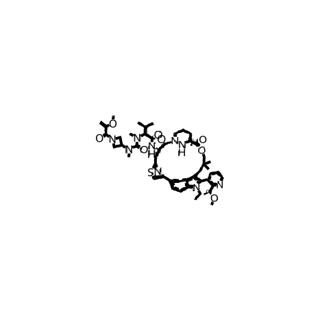 C=C(OC)C(=O)N1CC(N(C)C(=O)N(C)C(C(=O)N[C@H]2Cc3nc(cs3)-c3ccc4c(c3)c(c(-c3cccnc3[C@H](C)OC)n4CC)CC(C)(C)COC(=O)[C@@H]3CCCN(N3)C2=O)C(C)C)C1